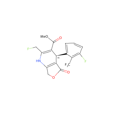 COC(=O)C1=C(CF)NC2=C(C(=O)OC2)[C@@H]1c1cccc(F)c1C(F)(F)F